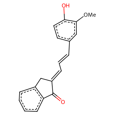 COc1cc(/C=C/C=C2\Cc3ccccc3C2=O)ccc1O